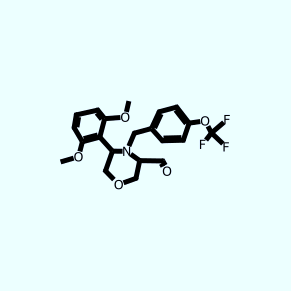 COc1cccc(OC)c1C1COCC(C=O)N1Cc1ccc(OC(F)(F)F)cc1